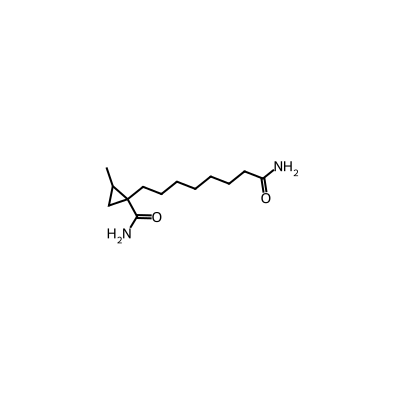 CC1CC1(CCCCCCCC(N)=O)C(N)=O